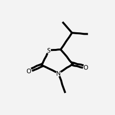 CC(C)C1SC(=O)N(C)C1=O